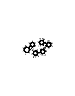 C1=CCc2c(c3ccccc3n2-c2cccc(-c3cccc(-n4c5ccccc5c5ccccc54)c3)c2)C=C1